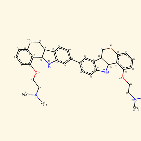 CN(C)CCOc1cccc2c1C1Nc3cc(-c4ccc5c(c4)C4CSc6cccc(OCCN(C)C)c6C4N5)ccc3C1CS2